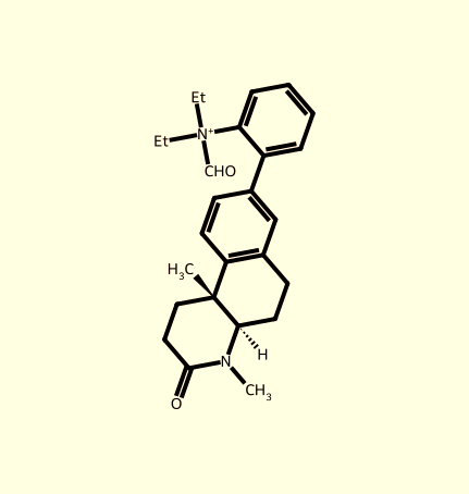 CC[N+](C=O)(CC)c1ccccc1-c1ccc2c(c1)CC[C@H]1N(C)C(=O)CC[C@]21C